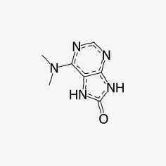 CN(C)c1ncnc2[nH]c(=O)[nH]c12